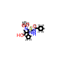 CC(C)(C)OC(=O)N1CC(CO)C(NC(=S)NC(=O)c2ccccc2)(C2CCCC2)C1